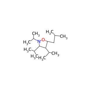 CC(C)CC1ON(C(C)C)C(C(C)C)C1C(C)C